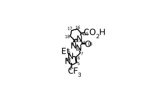 CCn1nc(C(F)(F)F)cc1Cn1nc2n(c1=O)C(C(=O)O)CCC2